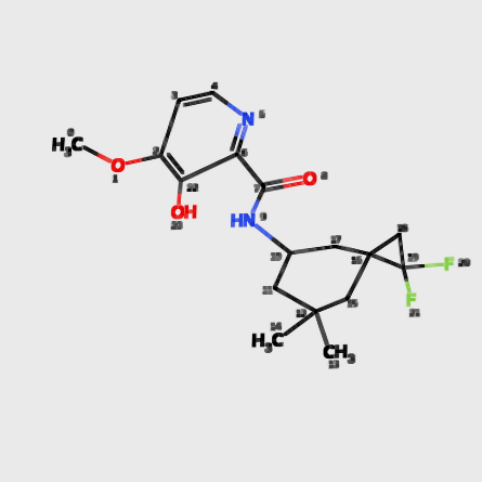 COc1ccnc(C(=O)NC2CC(C)(C)CC3(C2)CC3(F)F)c1O